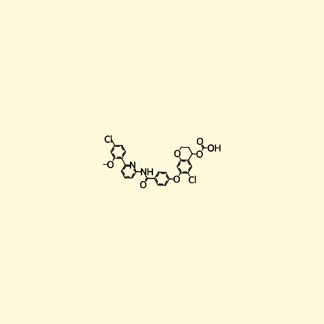 COc1cc(Cl)ccc1-c1cccc(NC(=O)c2ccc(Oc3cc4c(cc3Cl)C(OC(=O)O)CCO4)cc2)n1